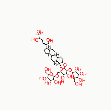 CC(C)(O)[C@@H](O)C/C=C(\CO)[C@H]1CC[C@]2(C)[C@@H]1CC[C@@H]1[C@@]3(C)CC[C@H](O[C@@H]4O[C@H](COC5O[C@H](CO)[C@@H](O)[C@H](O)[C@H]5O)[C@@H](O)[C@H](O)[C@H]4OC4O[C@H](CO)[C@@H](O)[C@H](O)[C@H]4O)C(C)(C)[C@@H]3CC[C@]12C